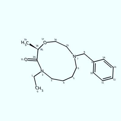 CCN1CCCCN(Cc2ccccc2)CCO[C@H](C)C1=O